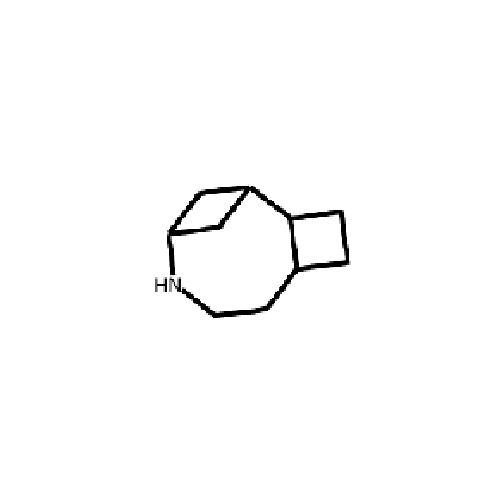 C1CC2CCC2C2CC(C2)N1